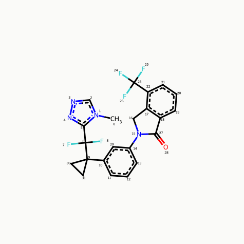 Cn1cnnc1C(F)(F)C1(c2cccc(N3Cc4c(cccc4C(F)(F)F)C3=O)c2)CC1